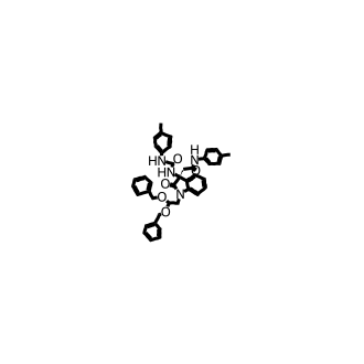 Cc1ccc(NC(=O)C[C@@]2(NC(=O)Nc3ccc(C)cc3)C(=O)N(CC(OCc3ccccc3)OCc3ccccc3)c3ccccc32)cc1